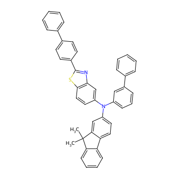 CC1(C)c2ccccc2-c2ccc(N(c3cccc(-c4ccccc4)c3)c3ccc4sc(-c5ccc(-c6ccccc6)cc5)nc4c3)cc21